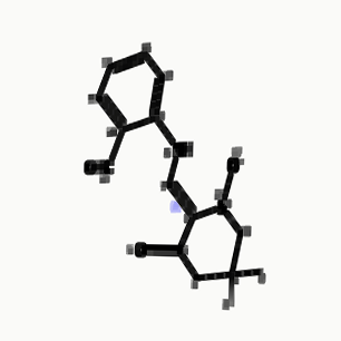 CC1(C)CC(=O)/C(=C/Nc2ccccc2C=O)[S+]([O-])C1